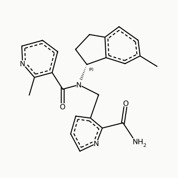 Cc1ccc2c(c1)[C@H](N(Cc1cccnc1C(N)=O)C(=O)c1cccnc1C)CC2